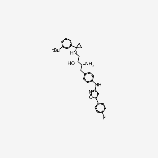 CC(C)(C)c1cccc(C2(NC[C@@H](O)[C@@H](N)Cc3ccc(Nc4cc(-c5ccc(F)cc5)on4)cc3)CC2)c1